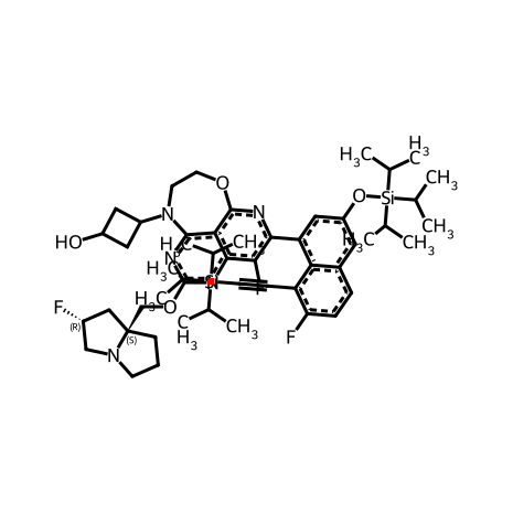 CC(C)[Si](C#Cc1c(F)ccc2cc(O[Si](C(C)C)(C(C)C)C(C)C)cc(-c3nc4c5c(nc(OC[C@@]67CCCN6C[C@H](F)C7)nc5c3F)N(C3CC(O)C3)CCO4)c12)(C(C)C)C(C)C